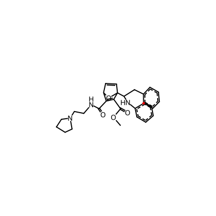 COC(=O)C1=C(C(=O)NCCN2CCCC2)C2C=CC1(C(Cc1ccccc1)Nc1ccccc1)O2